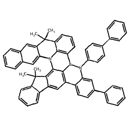 CC1(C)c2cc3ccccc3cc2N2c3c(cccc31)B1c3c(cc4c(c32)C(C)(C)c2ccccc2-4)-c2ccc(-c3ccccc3)cc2N1c1ccc(-c2ccccc2)cc1